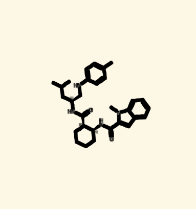 Cc1ccc(NC[C@H](CC(C)C)NC(=O)[C@@H]2CCCC[C@@H]2NC(=O)c2cc3ccccc3n2C)cc1